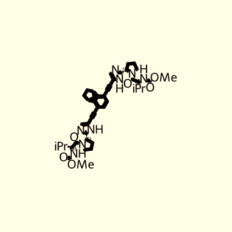 COC(=O)N[C@H](C(=O)N1CCC[C@H]1c1ncc(C#Cc2ccc(C#Cc3cnc([C@@H]4CCCN4C(=O)[C@@H](NC(=O)OC)C(C)C)[nH]3)c3c2C2CCC3C2)[nH]1)C(C)C